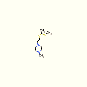 CSC(C)SCCN1CCN(C)CC1